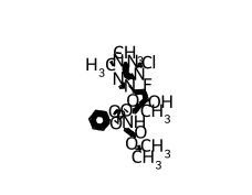 CC(C)OC(=O)CNP(=O)(OC[C@@]1(C)O[C@@H](n2cnc3c(N(C)C)nc(Cl)nc32)[C@H](F)[C@@H]1O)Oc1ccccc1